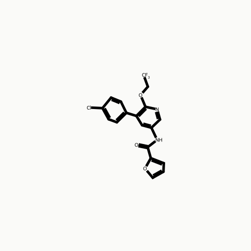 O=C(Nc1cnc(OCC(F)(F)F)c(-c2ccc(Cl)cc2)c1)c1ccco1